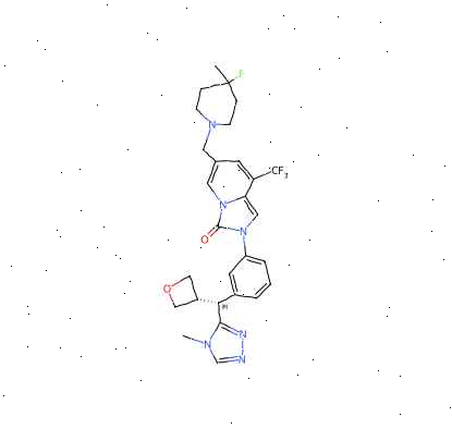 Cn1cnnc1[C@@H](c1cccc(-n2cc3c(C(F)(F)F)cc(CN4CCC(C)(F)CC4)cn3c2=O)c1)C1COC1